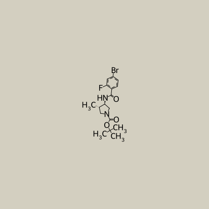 C[C@H]1CN(C(=O)OC(C)(C)C)C[C@@H]1NC(=O)c1ccc(Br)cc1F